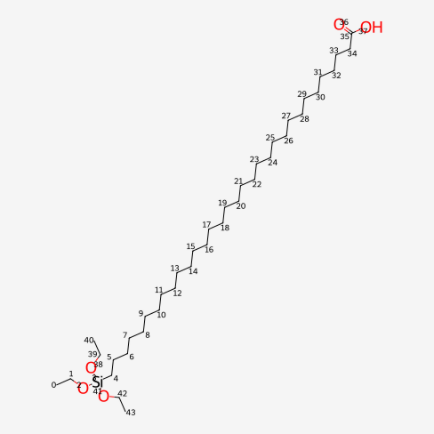 CCO[Si](CCCCCCCCCCCCCCCCCCCCCCCCCCCCCCCC(=O)O)(OCC)OCC